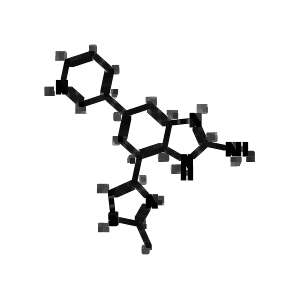 Cc1nc(-c2cc(-c3cccnc3)cc3nc(N)[nH]c23)cs1